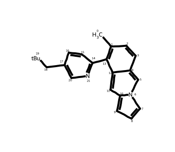 Cc1ccc2cn3cccc3cc2c1-c1ccc(CC(C)(C)C)cn1